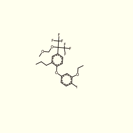 CCCc1cc(C(OCOC)(C(F)(F)F)C(F)(F)F)ccc1Oc1ccc(I)c(OCC)c1